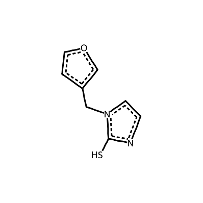 Sc1nccn1Cc1ccoc1